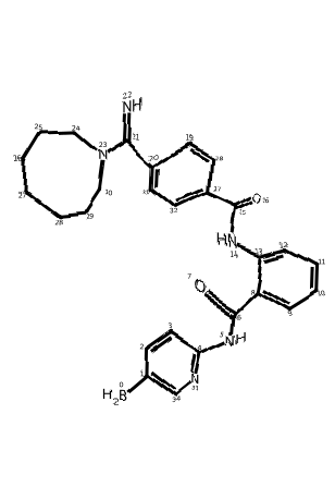 Bc1ccc(NC(=O)c2ccccc2NC(=O)c2ccc(C(=N)N3CCCCCCC3)cc2)nc1